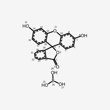 O=C1OC2(c3ccc(O)cc3Oc3cc(O)ccc32)c2ccccc21.OB(O)O